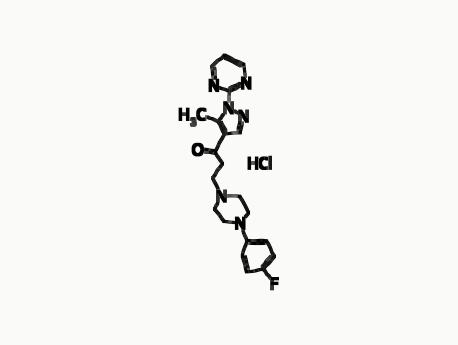 Cc1c(C(=O)CCN2CCN(c3ccc(F)cc3)CC2)cnn1-c1ncccn1.Cl